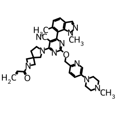 C=CC(=O)N1CC2(CCN(c3nc(OCc4ccc(N5CCN(C)CC5)cn4)nc(-c4c(C)ccc5cnn(C)c45)c3C#N)C2)C1